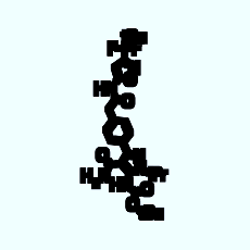 CC(C)n1nc(-c2ccc(CC(=O)Nc3cc(C(F)(F)C(C)(C)C)no3)cc2)c(C(N)=O)c1NC(=O)OC(C)(C)C